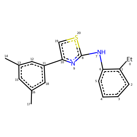 CCc1ccccc1Nc1nc(-c2cc(C)cc(C)c2)cs1